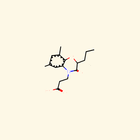 CC[C@H](C)C1Oc2c(C)cc(C)cc2N(CCC(=O)O)C1=O